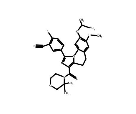 COc1cc2c(cc1OC(C)C)-n1c(-c3ccc(F)c(C#N)c3)nc(C(=O)N3CCOCC3(C)C)c1CC2